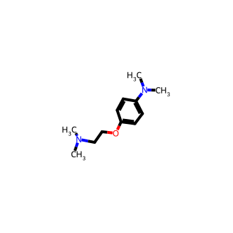 CN(C)CCOc1ccc(N(C)C)cc1